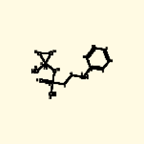 O=P(O)(CCNc1ccccc1)O[PH]1(O)OO1